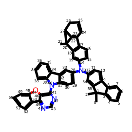 CC1(C)c2ccccc2-c2ccc(N(c3ccc4c(c3)C3(C)C5=C4C=CCC53)c3ccc4c(c3)c3ccccc3n4-c3ncnc4c3oc3ccccc34)cc21